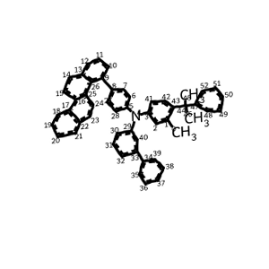 Cc1cc(N(c2ccc(-c3cccc4ccc5c6ccccc6ccc5c34)cc2)c2cccc(-c3ccccc3)c2)ccc1C(C)(C)c1ccccc1